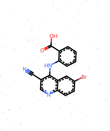 N#Cc1cnc2ccc(Br)cc2c1Nc1ccccc1C(=O)O